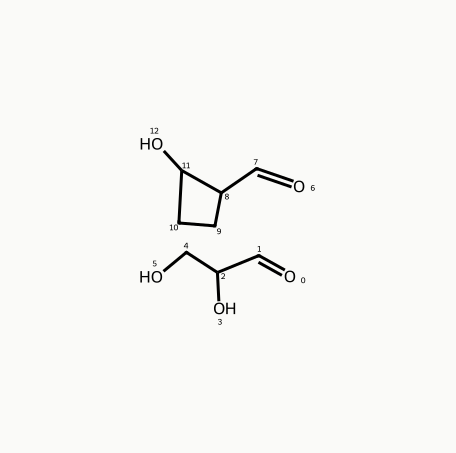 O=CC(O)CO.O=CC1CCC1O